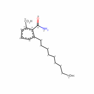 CCCCCCCCCCCCCCCCCCc1cccc(C(=O)O)c1C(N)=O